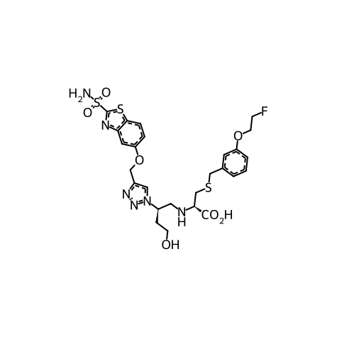 NS(=O)(=O)c1nc2cc(OCc3cn([C@H](CCO)CN[C@@H](CSCc4cccc(OCCF)c4)C(=O)O)nn3)ccc2s1